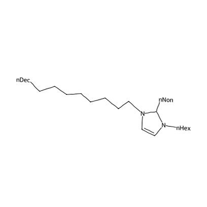 CCCCCCCCCCCCCCCCCCN1C=CN(CCCCCC)C1CCCCCCCCC